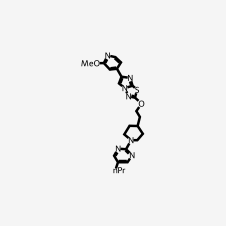 CCCc1cnc(N2CCC(CCOc3nn4cc(-c5ccnc(OC)c5)nc4s3)CC2)nc1